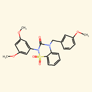 COc1cccc(CN2C(=O)N(c3cc(OC)cc(OC)c3)S(=O)(=O)c3ccccc32)c1